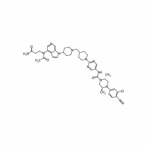 CC(=O)N(CCC(N)=O)c1cncc2c1ccn2C1CCN(CC2CCN(c3ncc(NC(=O)N4C[C@H](C)N(c5ccc(C#N)c(Cl)c5)C[C@H]4C)cn3)CC2)CC1